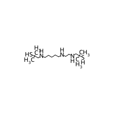 CC(C)(S)CNCCCCCNCCNCC(C)(C)S